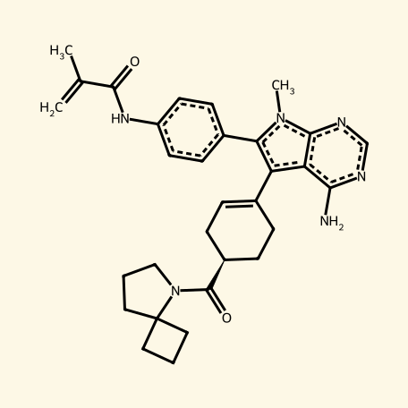 C=C(C)C(=O)Nc1ccc(-c2c(C3=CC[C@H](C(=O)N4CCCC45CCC5)CC3)c3c(N)ncnc3n2C)cc1